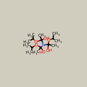 CC(C)OC(C)(O)N(C(C)(O)OC(C)C)C(C)(O)OC(C)C